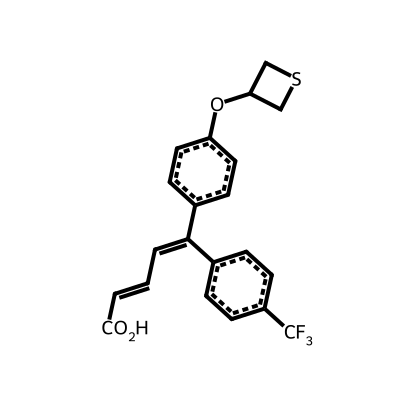 O=C(O)C=CC=C(c1ccc(OC2CSC2)cc1)c1ccc(C(F)(F)F)cc1